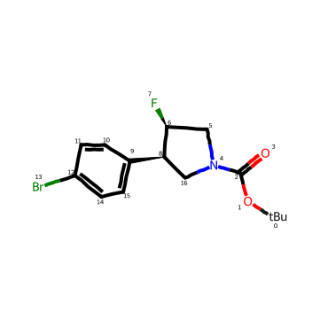 CC(C)(C)OC(=O)N1C[C@H](F)[C@H](c2ccc(Br)cc2)C1